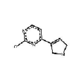 Clc1nccc(C2=CCNC2)n1